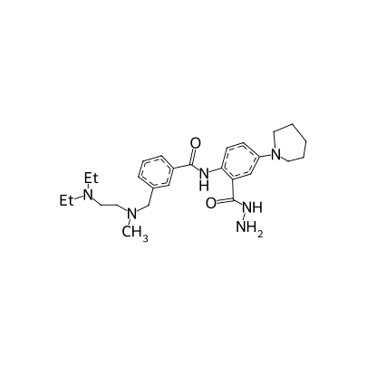 CCN(CC)CCN(C)Cc1cccc(C(=O)Nc2ccc(N3CCCCC3)cc2C(=O)NN)c1